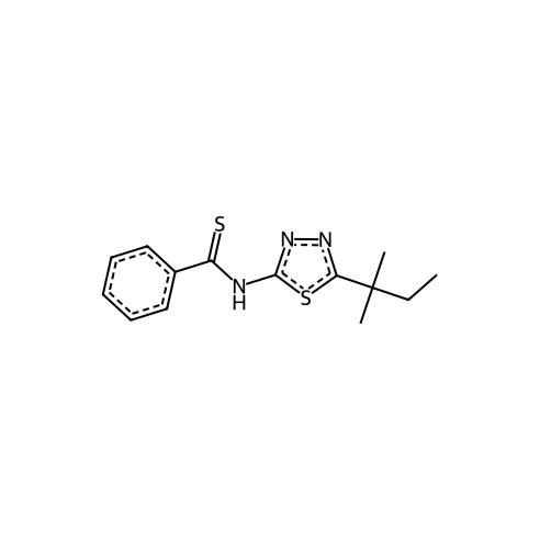 CCC(C)(C)c1nnc(NC(=S)c2ccccc2)s1